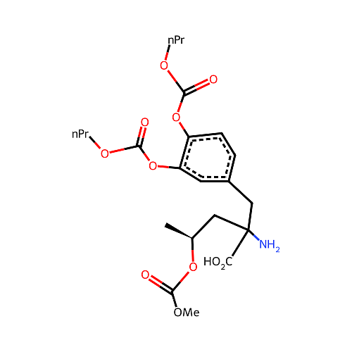 CCCOC(=O)Oc1ccc(CC(N)(C[C@H](C)OC(=O)OC)C(=O)O)cc1OC(=O)OCCC